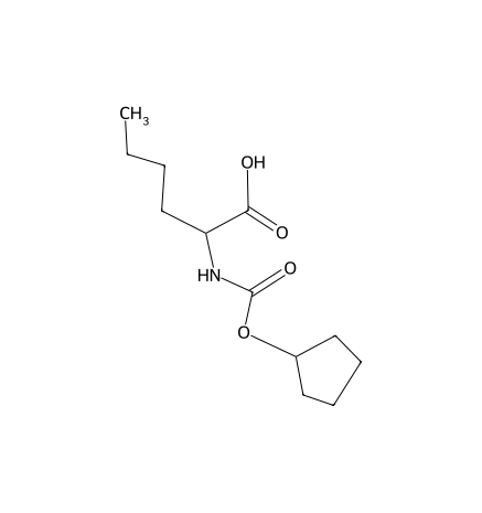 CCCCC(NC(=O)OC1CCCC1)C(=O)O